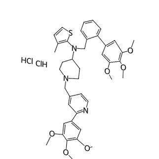 COc1cc(-c2cc(CN3CCC(N(Cc4ccccc4-c4cc(OC)c(OC)c(OC)c4)c4sccc4C)CC3)ccn2)cc(OC)c1OC.Cl.Cl